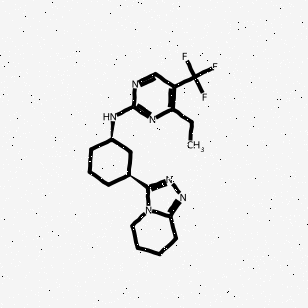 CCc1nc(N[C@@H]2CCC[C@H](c3nnc4n3CCCC4)C2)ncc1C(F)(F)F